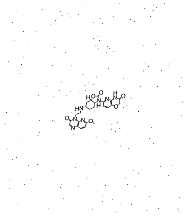 COc1ccc2ncc(=O)n(CCN[C@H]3CC[C@H]4[C@H](C3)OC(=O)N4c3ccc4c(n3)NC(=O)CO4)c2n1